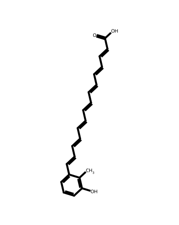 Cc1c(O)cccc1C=CC=CC=CC=CC=CC=CC=CC(=O)O